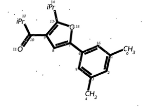 Cc1cc(C)cc(-c2cc(C(=O)C(C)C)c(C(C)C)o2)c1